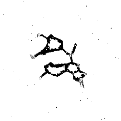 CN(c1ccc(F)c(Br)c1)c1nc2nncn2c2cc(Cl)ccc12